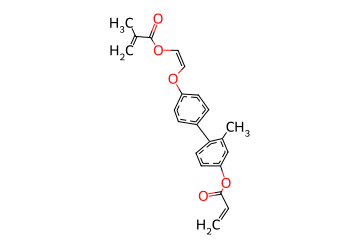 C=CC(=O)Oc1ccc(-c2ccc(O/C=C\OC(=O)C(=C)C)cc2)c(C)c1